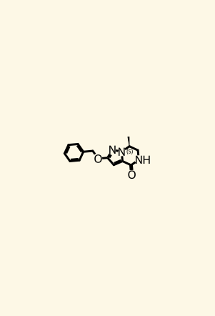 C[C@H]1CNC(=O)c2cc(OCc3ccccc3)nn21